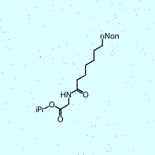 CCCCCCCCCCCCCCCC(=O)NCC(=O)OC(C)C